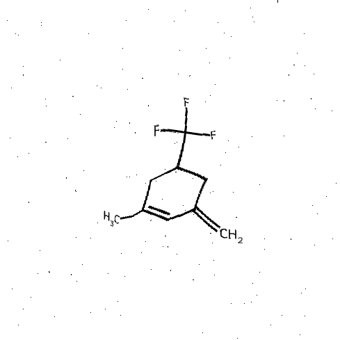 C=C1C=C(C)CC(C(F)(F)F)C1